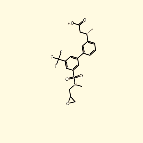 C[C@@H](CC(=O)O)c1cccc(-c2cc(C(F)(F)F)cc(S(=O)(=O)N(C)CC3CO3)c2)c1